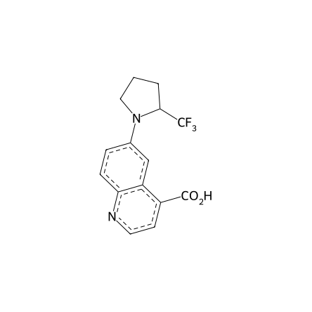 O=C(O)c1ccnc2ccc(N3CCCC3C(F)(F)F)cc12